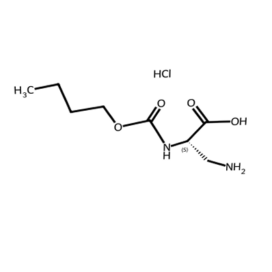 CCCCOC(=O)N[C@@H](CN)C(=O)O.Cl